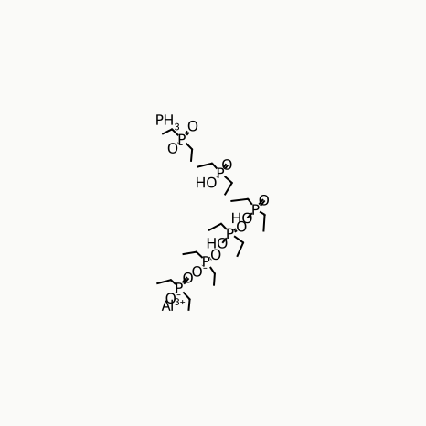 CCP(=O)(O)CC.CCP(=O)(O)CC.CCP(=O)(O)CC.CCP(=O)([O-])CC.CCP(=O)([O-])CC.CCP(=O)([O-])CC.P.[Al+3]